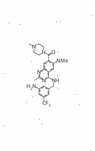 CNc1cc2c(N[C@H](C)c3cc(N)cc(C(F)(F)F)c3)nc(C)nc2cc1C(=O)N1CCN(C)CC1